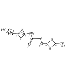 O=C(O)NC12CC(NC(=O)COC3CC(C(F)(F)F)C3)(C1)C2